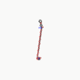 O=C(CCOCCOCCOCCOCCOCCOCCOCCOCCOCCOCCOCCOCCNC(=O)c1ccc(COC2CCC=CCCC2)cc1)ON1C(=O)CCC1=O